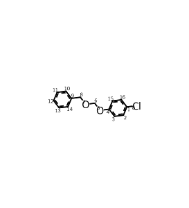 Clc1ccc(OCOCc2ccccc2)cc1